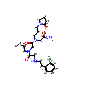 CC(C)CCN(CC(=O)N(CCCN1CCCC1=O)CC(N)=O)C(=O)CNCCc1ccccc1F